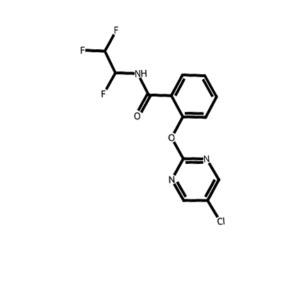 O=C(NC(F)C(F)F)c1ccccc1Oc1ncc(Cl)cn1